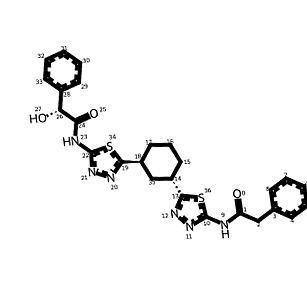 O=C(Cc1ccccc1)Nc1nnc([C@H]2CCC[C@H](c3nnc(NC(=O)[C@H](O)c4ccccc4)s3)C2)s1